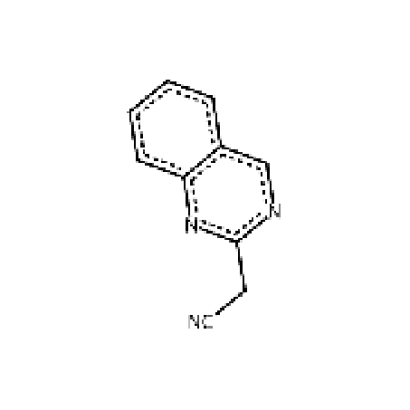 N#CCc1ncc2ccccc2n1